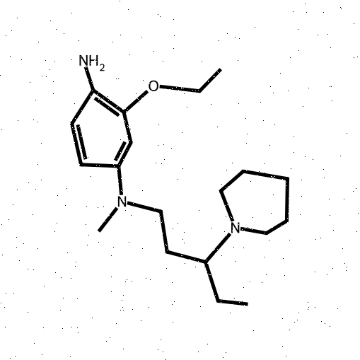 CCOc1cc(N(C)CCC(CC)N2CCCCC2)ccc1N